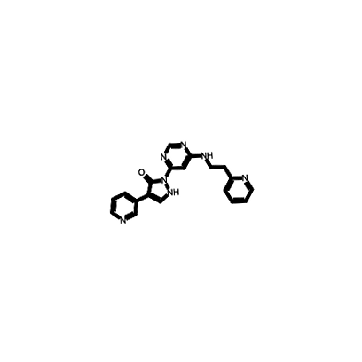 O=c1c(-c2cccnc2)c[nH]n1-c1cc(NCCc2ccccn2)ncn1